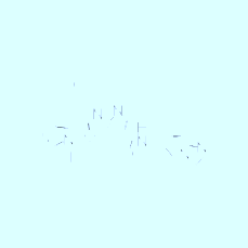 Cc1nc(CC(=O)N(CC2CCCO2)c2ncc(C(=O)NCc3ccc4nccn4c3)s2)cs1